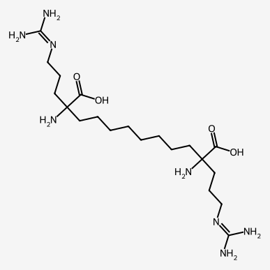 NC(N)=NCCCC(N)(CCCCCCCCC(N)(CCCN=C(N)N)C(=O)O)C(=O)O